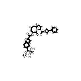 COC(c1ccc2sc(C(=O)N[C@H]3CCC[C@H]4CC[C@@H](C(=O)N5CC(c6cccnc6)C5)N4C3=O)cc2c1)P(=O)(O)O